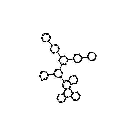 c1ccc(-c2ccc(-c3nc(-c4ccc(-c5ccccc5)cc4)nc(-c4cc(-c5cccnc5)cc(-c5cc6c7ccccc7c7ccccc7c6c6ccccc56)c4)n3)cc2)cc1